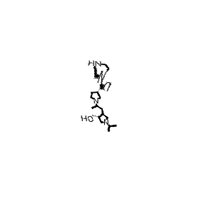 CC(C)N1CC(CC(C)N2CC[C@H](C(=O)N3CCNCC3)C2)[C@@H](CO)C1